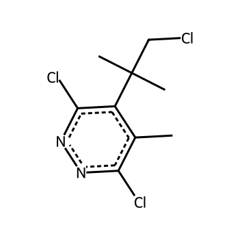 Cc1c(Cl)nnc(Cl)c1C(C)(C)CCl